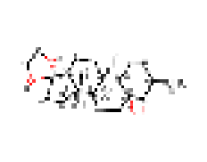 C[C@]12CC[C@H]3[C@@H](CC[C@@]4(O)C[C@H](C=O)CC[C@]34C)[C@@H]1CCC21OCCO1